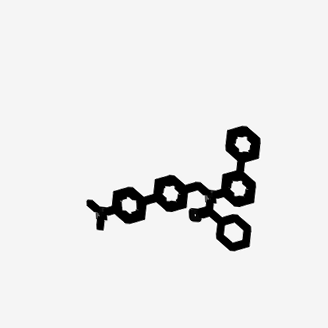 CN(C)c1ccc(-c2ccc(CN(C(=O)C3CCCCC3)c3cccc(-c4ccccc4)c3)cc2)cc1